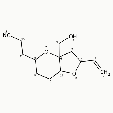 C=CC1CC2(CO)OC(CCC#N)CCC2O1